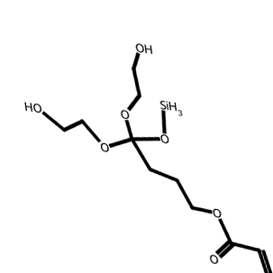 CC=CC(=O)OCCCC(O[SiH3])(OCCO)OCCO